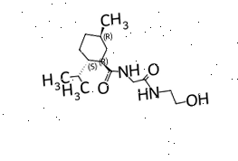 CC(C)[C@@H]1CC[C@@H](C)C[C@H]1C(=O)NCC(=O)NCCO